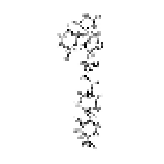 Fc1cccc(C2(c3noc(CNCCN4CCN(c5ccc(C(F)(F)F)cn5)CC4)n3)CCCC2)c1